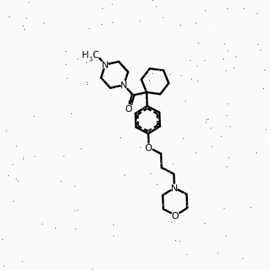 CN1CCN(C(=O)C2(c3ccc(OCCCN4CCOCC4)cc3)CCCCC2)CC1